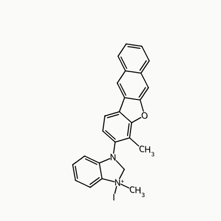 Cc1c(N2C[N+](C)(I)c3ccccc32)ccc2c1oc1cc3ccccc3cc12